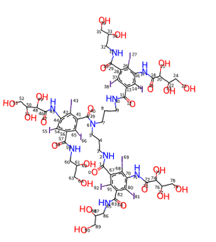 O=C(NCCCN(CCCNC(=O)c1c(I)c(NC(=O)C(O)C(O)CO)c(I)c(C(=O)NCC(O)CO)c1I)C(=O)c1c(I)c(NC(=O)C(O)C(O)CO)c(I)c(C(=O)NCC(O)CO)c1I)c1c(I)c(NC(=O)C(O)C(O)CO)c(I)c(C(=O)NCC(O)CO)c1I